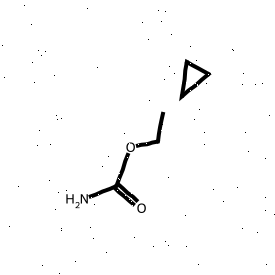 C1CC1.CCOC(N)=O